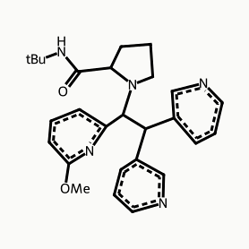 COc1cccc(C(C(c2cccnc2)c2cccnc2)N2CCCC2C(=O)NC(C)(C)C)n1